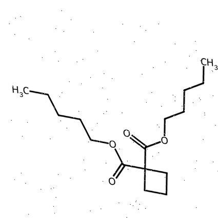 CCCCCOC(=O)C1(C(=O)OCCCCC)CCC1